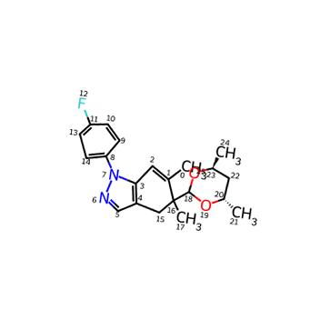 CC1=Cc2c(cnn2-c2ccc(F)cc2)CC1(C)C1O[C@@H](C)C[C@H](C)O1